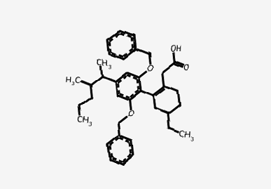 CCCC(C)C(C)c1cc(OCc2ccccc2)c(C2=C(CC(=O)O)CCC(CC)C2)c(OCc2ccccc2)c1